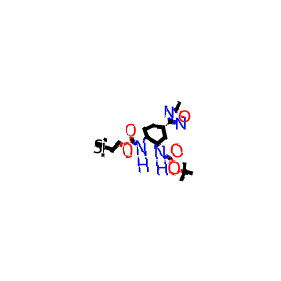 Cc1nc([C@H]2CC[C@H](NC(=O)OCC[Si](C)(C)C)[C@H](NC(=O)OC(C)(C)C)C2)no1